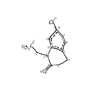 O=C(O)CN1C(=O)CCc2ccc(Cl)cc21